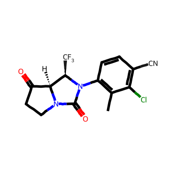 Cc1c(N2C(=O)N3CCC(=O)[C@H]3[C@H]2C(F)(F)F)ccc(C#N)c1Cl